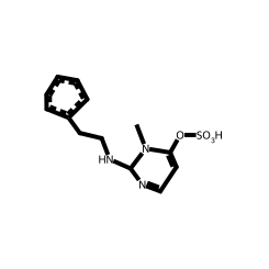 CN1C(OS(=O)(=O)O)=CC=NC1NCCc1ccccc1